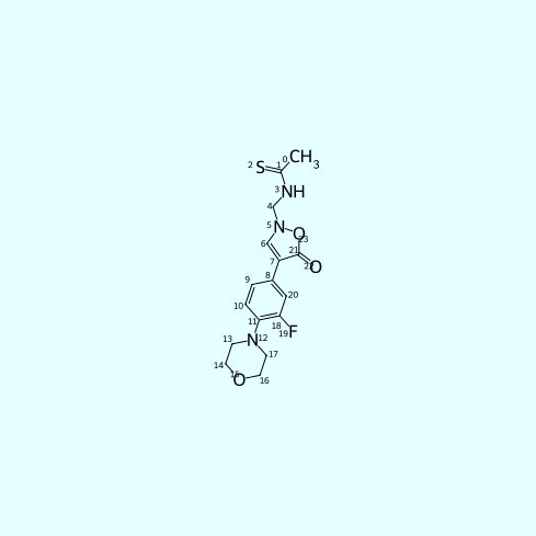 CC(=S)NCn1cc(-c2ccc(N3CCOCC3)c(F)c2)c(=O)o1